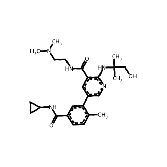 Cc1ccc(C(=O)NC2CC2)cc1-c1cnc(NC(C)(C)CO)c(C(=O)NCCN(C)C)c1